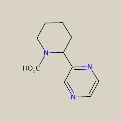 O=C(O)N1CCCCC1c1cnccn1